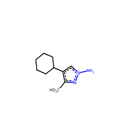 Nn1cc(C2CCCCC2)c(C(=O)O)n1